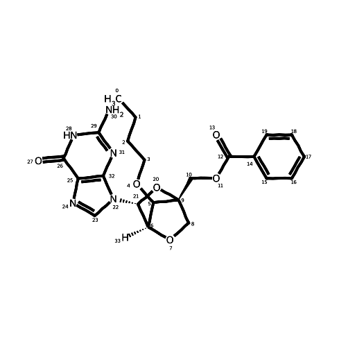 CCCCOC1[C@H]2OC[C@@]1(COC(=O)c1ccccc1)O[C@H]2n1cnc2c(=O)[nH]c(N)nc21